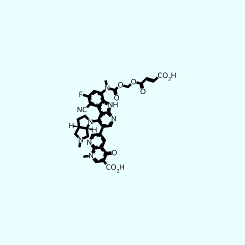 CN1C[C@@H]2CCN(c3c(-c4cnc5c(c4)c(=O)c(C(=O)O)cn5C)cnc4[nH]c5c(N(C)C(=O)OCOC(=O)/C=C/C(=O)O)cc(F)c(C#N)c5c34)[C@@H]2C1